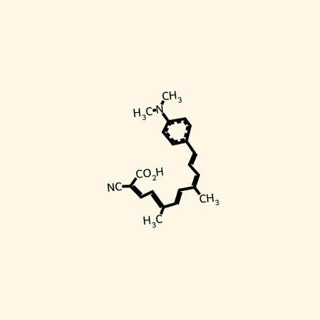 CC(C=CC(C)=CC=C(C#N)C(=O)O)=CC=Cc1ccc(N(C)C)cc1